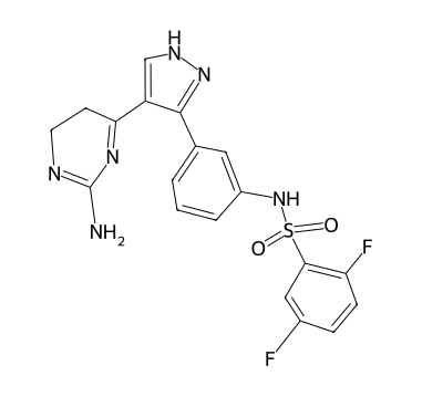 NC1=NCCC(c2c[nH]nc2-c2cccc(NS(=O)(=O)c3cc(F)ccc3F)c2)=N1